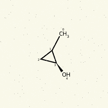 CC1C[C@@H]1O